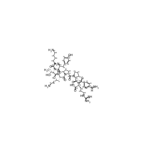 C[C@@H](O)[C@@H](C(=O)N[C@@H](CCCCN)C(=O)N1CCC[C@H]1C(=O)N1CCC[C@H]1C(=O)N(C(=O)c1ccc(NN)nc1)[C@@H](CCCNC(=N)N)C(=O)O)N(C(=O)CCCCCN)C(=O)[C@@H](N)Cc1ccc(O)cc1